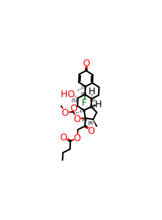 CCCC(=O)OCC(=O)[C@@]1(OC(=O)OC)[C@H](C)C[C@H]2[C@@H]3CCC4=CC(=O)C=C[C@]4(C)[C@@]3(F)[C@@H](O)C[C@@]21C